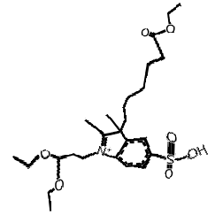 CCOC(=O)CCCCCC1(C)C(C)=[N+](CCC(OCC)OCC)c2ccc(S(=O)(=O)O)cc21